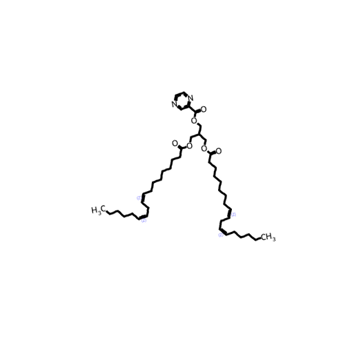 CCCCC/C=C\C/C=C\CCCCCCCC(=O)OCC(COC(=O)CCCCCCC/C=C\C/C=C\CCCCC)COC(=O)c1cnccn1